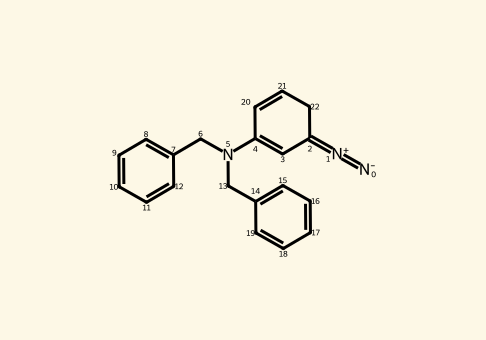 [N-]=[N+]=C1C=C(N(Cc2ccccc2)Cc2ccccc2)C=CC1